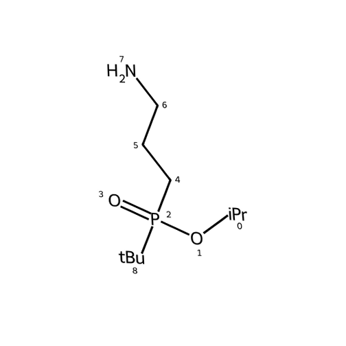 CC(C)OP(=O)(CCCN)C(C)(C)C